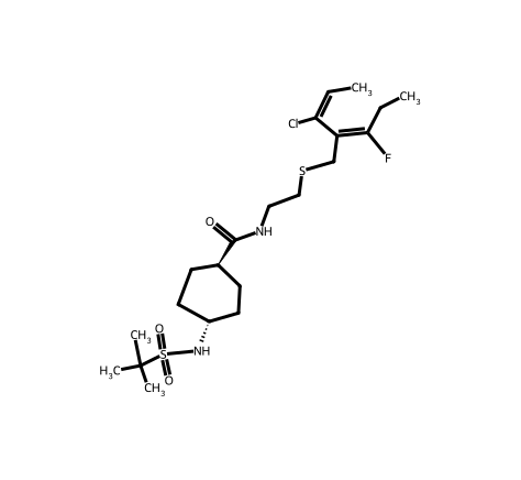 C/C=C(Cl)\C(CSCCNC(=O)[C@H]1CC[C@H](NS(=O)(=O)C(C)(C)C)CC1)=C(\F)CC